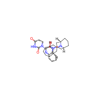 O=c1ccn(-c2nc3ccccc3n([C@@H]3C[C@H]4CCC[C@@H](C3)N4[C@@H]3C[C@@H]4CCCC[C@@H](C4)C3)c2=O)c(=O)[nH]1